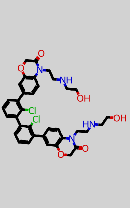 O=C1COc2cc(-c3cccc(-c4cccc(-c5ccc6c(c5)OCC(=O)N6CCNCCO)c4Cl)c3Cl)ccc2N1CCNCCO